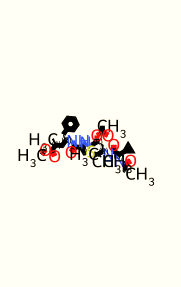 CCC(=O)N[C@H](C(=O)N(C)[C@H](C[C@@H](OC(C)=O)c1nc(C(=O)N[C@@H](Cc2ccccc2)C[C@H](C)C(=O)OC)cs1)C(C)C)C1CC1